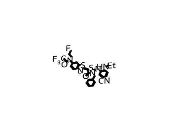 CCNc1ccc(C#N)cc1/N=C1/S/C(=C2\Sc3cc(N(CCCF)C(=O)C(F)(F)F)ccc3N2C)C(=O)N1Cc1ccccc1